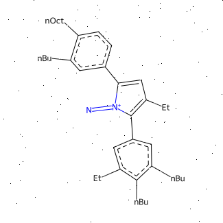 CCCCCCCCc1ccc(C2=CC(CC)=C(c3cc(CC)c(CCCC)c(CCCC)c3)[N+]2=[N-])cc1CCCC